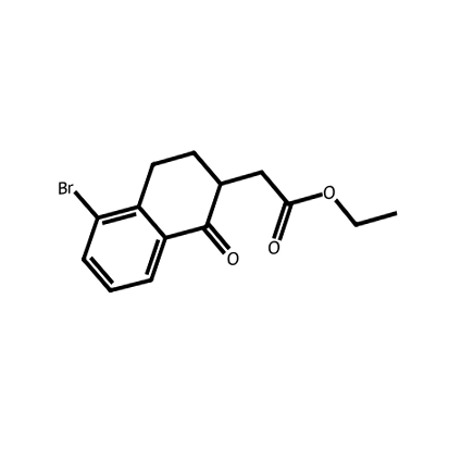 CCOC(=O)CC1CCc2c(Br)cccc2C1=O